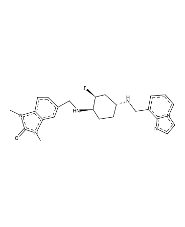 Cn1c(=O)n(C)c2cc(CN[C@@H]3CC[C@@H](NCc4cccn5ccnc45)C[C@@H]3F)ccc21